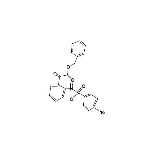 O=C(OCc1ccccc1)C(=O)c1ccccc1NS(=O)(=O)c1ccc(Br)cc1